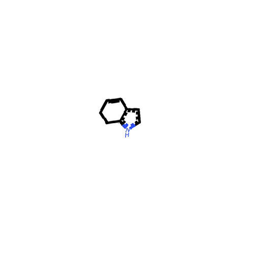 C1=Cc2cc[nH]c2CC1